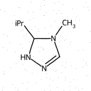 CC(C)C1NN=CN1C